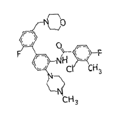 Cc1c(F)ccc(C(=O)Nc2cc(-c3cc(CN4CCOCC4)ccc3F)ccc2N2CCN(C)CC2)c1Cl